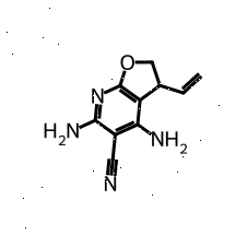 C=CC1COc2nc(N)c(C#N)c(N)c21